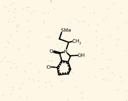 CSCC(C)N1C(=O)c2c(Cl)cccc2C1O